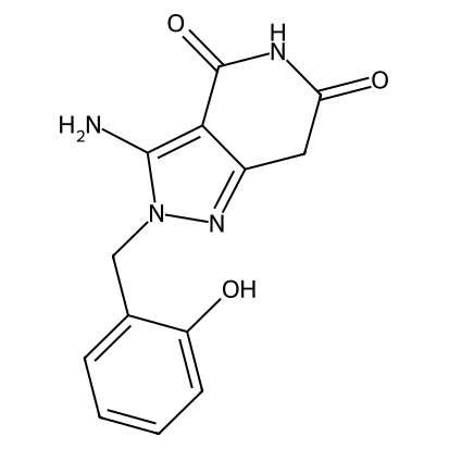 Nc1c2c(nn1Cc1ccccc1O)CC(=O)NC2=O